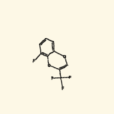 Fc1cccc2c1OC(C(F)(F)F)=[C]O2